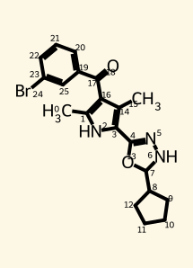 Cc1[nH]c(C2=NNC(C3CCCC3)O2)c(C)c1C(=O)c1cccc(Br)c1